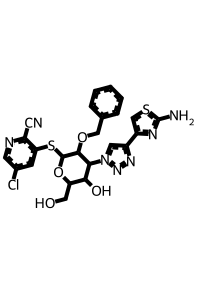 N#Cc1ncc(Cl)cc1SC1OC(CO)C(O)C(n2cc(-c3csc(N)n3)nn2)C1OCc1ccccc1